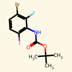 CC(C)(C)OC(=O)Nc1c(I)ccc(Br)c1F